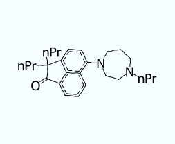 CCCN1CCCN(c2ccc3c4c(cccc24)C(=O)C3(CCC)CCC)CC1